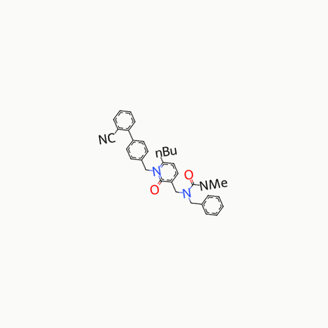 CCCCc1ccc(CN(Cc2ccccc2)C(=O)NC)c(=O)n1Cc1ccc(-c2ccccc2C#N)cc1